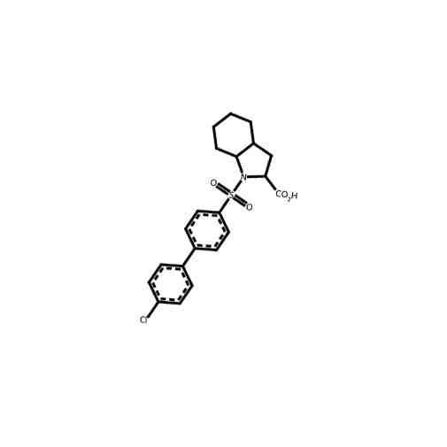 O=C(O)C1CC2CCCCC2N1S(=O)(=O)c1ccc(-c2ccc(Cl)cc2)cc1